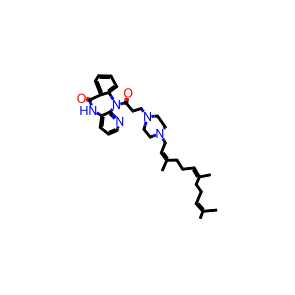 CC(C)=CCCC(C)=CCCC(C)=CCN1CCN(CCC(=O)N2c3ccccc3C(=O)Nc3cccnc32)CC1